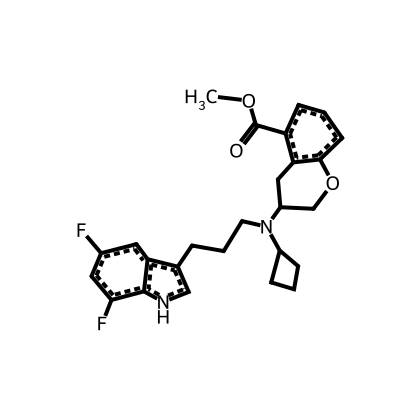 COC(=O)c1cccc2c1CC(N(CCCc1c[nH]c3c(F)cc(F)cc13)C1CCC1)CO2